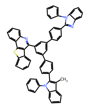 Cc1c(-c2ccc(-c3cc(-c4ccc(-c5nc6ccccc6n5-c5ccccc5)cc4)cc(-c4nc5ccccc5c5sc6ccccc6c45)c3)cc2)n(-c2ccccc2)c2ccccc12